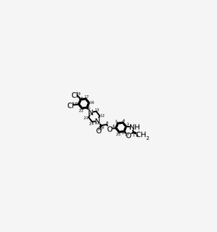 C=C1Nc2ccc(OCC(=O)N3CCN(c4ccc(Cl)c(Cl)c4)CC3)cc2O1